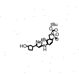 CC(C)(C)OC(=O)N1Cc2cc(Nc3cc(C4CCC(O)C4)nn3C(C)(C)C)ccc2S1(=O)=O